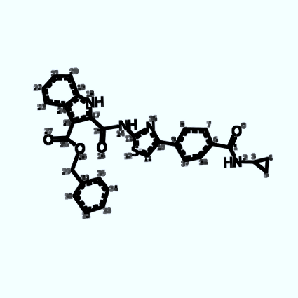 O=C(NC1CC1)c1ccc(-c2csc(NC(=O)c3[nH]c4ccccc4c3C(=O)OCc3ccccc3)n2)cc1